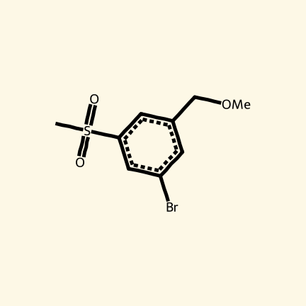 COCc1cc(Br)cc(S(C)(=O)=O)c1